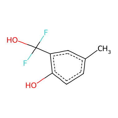 Cc1ccc(O)c(C(O)(F)F)c1